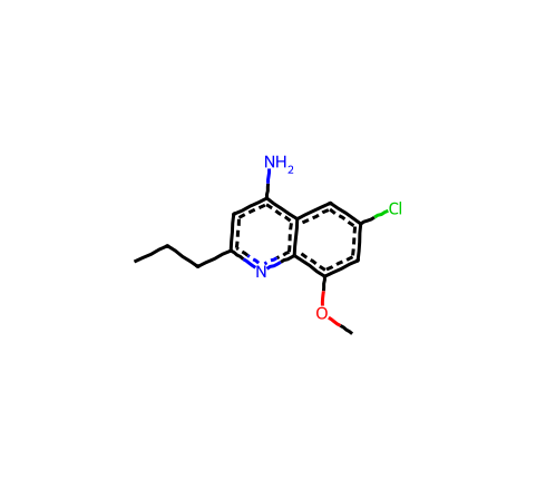 CCCc1cc(N)c2cc(Cl)cc(OC)c2n1